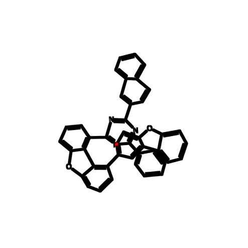 c1ccc(-c2nc(-c3ccc4ccccc4c3)nc(-c3cccc4oc5cccc(-c6ccc7oc8ccccc8c7c6)c5c34)n2)cc1